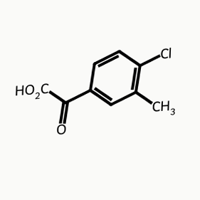 Cc1cc(C(=O)C(=O)O)ccc1Cl